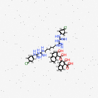 N=C(NCCCCCCNC(=N)NC(=N)Nc1ccc(Cl)cc1)NC(=N)Nc1ccc(Cl)cc1.O=C(O)c1c(O)ccc2ccccc12.O=C(O)c1c(O)ccc2ccccc12